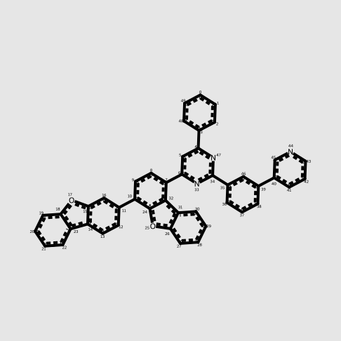 c1ccc(-c2cc(-c3ccc(-c4ccc5c(c4)oc4ccccc45)c4oc5ccccc5c34)nc(-c3cccc(-c4cccnc4)c3)n2)cc1